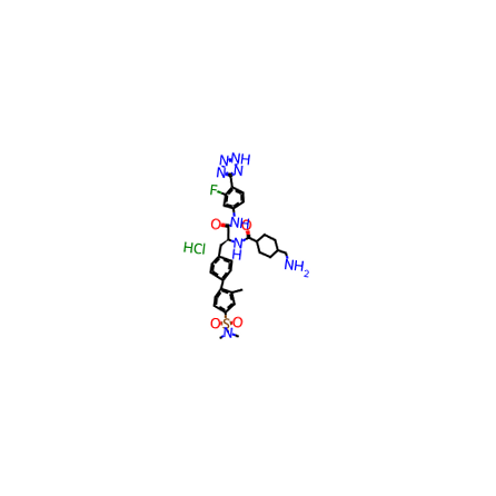 Cc1cc(S(=O)(=O)N(C)C)ccc1-c1ccc(C[C@H](NC(=O)C2CCC(CN)CC2)C(=O)Nc2ccc(-c3nn[nH]n3)c(F)c2)cc1.Cl